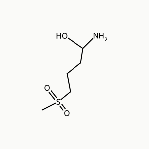 CS(=O)(=O)CCCC(N)O